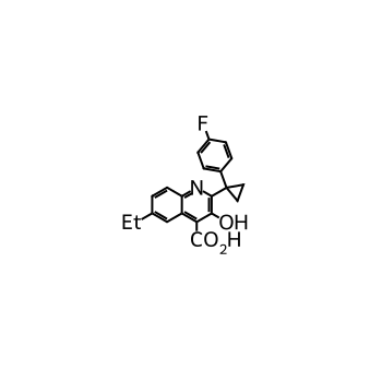 CCc1ccc2nc(C3(c4ccc(F)cc4)CC3)c(O)c(C(=O)O)c2c1